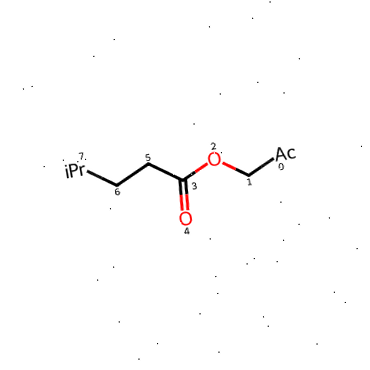 CC(=O)COC(=O)CCC(C)C